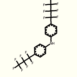 FC(F)(F)C(F)(F)C(F)(F)c1ccc(Nc2ccc(C(F)(F)C(F)(F)C(F)(F)F)cc2)cc1